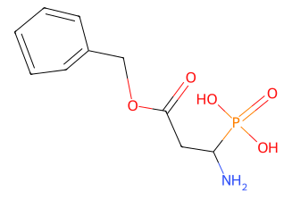 NC(CC(=O)OCc1ccccc1)P(=O)(O)O